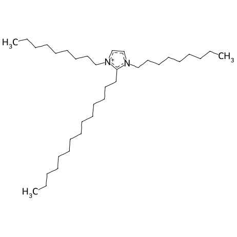 CCCCCCCCCCCCCCc1n(CCCCCCCCC)cc[n+]1CCCCCCCCC